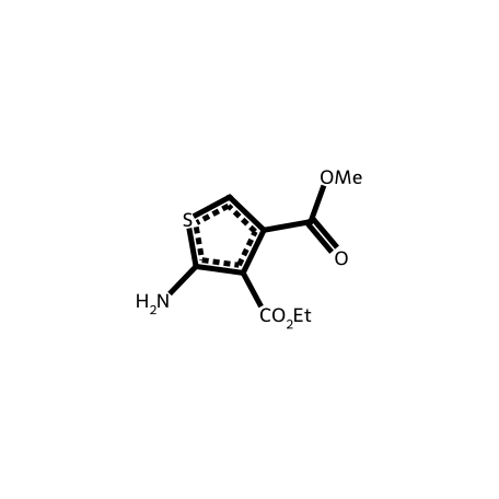 CCOC(=O)c1c(C(=O)OC)csc1N